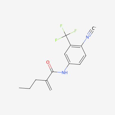 [C-]#[N+]c1ccc(NC(=O)C(=C)CCC)cc1C(F)(F)F